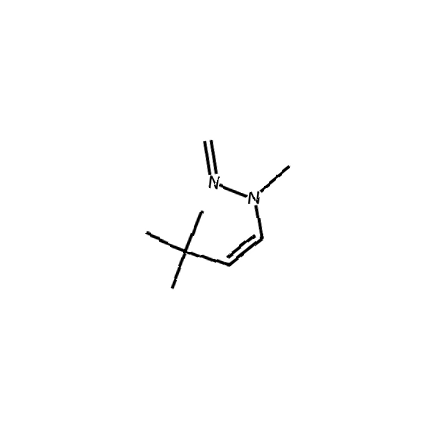 C=NN(C)/C=C\C(C)(C)C